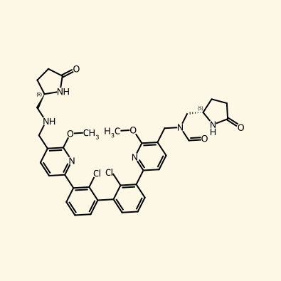 COc1nc(-c2cccc(-c3cccc(-c4ccc(CN(C=O)C[C@@H]5CCC(=O)N5)c(OC)n4)c3Cl)c2Cl)ccc1CNC[C@H]1CCC(=O)N1